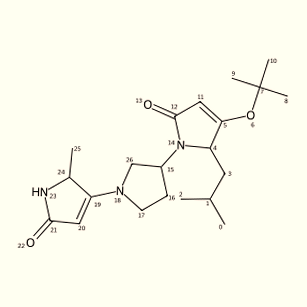 CC(C)CC1C(OC(C)(C)C)=CC(=O)N1C1CCN(C2=CC(=O)NC2C)C1